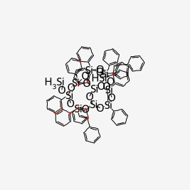 [SiH3]O[Si]1(c2ccccc2)O[Si](/C=C/c2ccccc2)(c2ccccc2)O[Si]2(c3ccccc3)O[Si]3(c4ccccc4)O[SiH](c4ccccc4)O[Si]4(c5ccccc5)O[Si](/C=C/c5ccccc5)(c5ccccc5)O[Si](c5ccccc5)(O3)O[Si@](c3ccccc3)(O2)O[Si@](c2ccccc2)(O1)O4